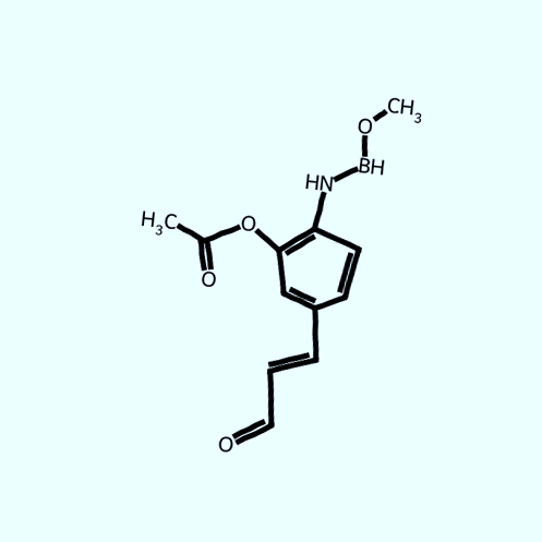 COBNc1ccc(/C=C/C=O)cc1OC(C)=O